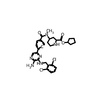 CN(C(=O)c1ccc(-c2cnc(N)c(NCc3c(Cl)cccc3Cl)n2)cc1)C1CCNC(C(=O)OC2CCCC2)C1